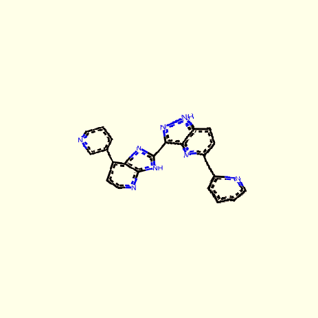 c1ccc(-c2ccc3[nH]nc(-c4nc5c(-c6cccnc6)ccnc5[nH]4)c3n2)nc1